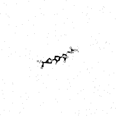 CC(=O)NC[C@H]1CN(c2ccc(N3CC4C(C3)C4C(C)C#N)c(F)c2)C(=O)O1